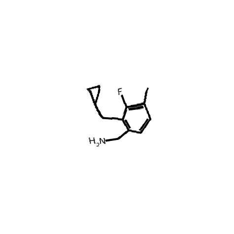 Cc1ccc(CN)c(CC2CC2)c1F